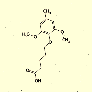 COc1cc(C)cc(OC)c1OCCCCC(=O)O